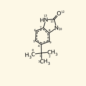 CC(C)(C)c1ccc2c(c1)[N]C(=O)N2